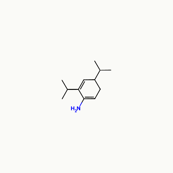 CC(C)C1=CC(C(C)C)CC=C1N